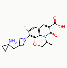 C[C@H]1COc2c(N3CC(CC4(N)CC4)C3)c(F)cc3cc(C(=O)O)c(=O)n1c23